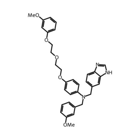 COc1cccc(CN(Cc2ccc3nc[nH]c3c2)c2ccc(OCCOCCOc3cccc(OC)c3)cc2)c1